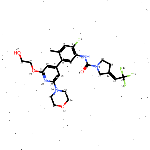 Cc1cc(F)c(NC(=O)N2CC/C(=C\C(F)(F)F)C2)cc1-c1cc(OCCO)nc(N2CCOCC2)c1